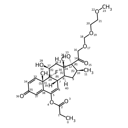 CCC(=O)OC1=C[C@H]2[C@@H]3C[C@H](C)[C@](O)(C(=O)COCOCCOC)[C@@]3(C)C[C@H](O)[C@]2(F)[C@@]2(C)C=CC(=O)C=C12